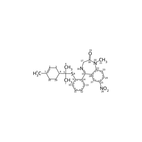 CC1=CCC(C(C)(C)Sc2ccccc2C2=NCC(=O)N(C)c3ccc([N+](=O)[O-])cc32)CC1